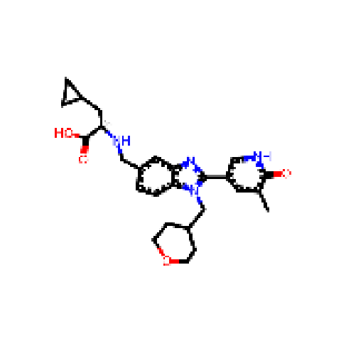 Cc1cc(-c2nc3cc(CN[C@H](CC4CC4)C(=O)O)ccc3n2CC2CCOCC2)c[nH]c1=O